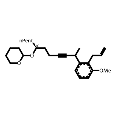 C=CCc1c(OC)cccc1C(C)C#CCC[C@H](CCCCC)OC1CCCCO1